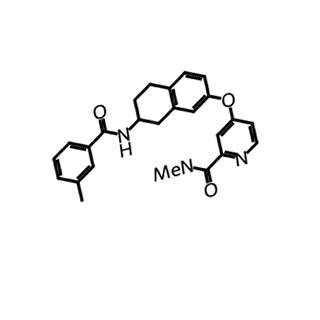 CNC(=O)c1cc(Oc2ccc3c(c2)CC(NC(=O)c2cccc(C)c2)CC3)ccn1